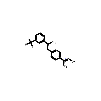 N/C(=N\O)c1ccc(CC(N)c2cccc(C(F)(F)F)c2)nc1